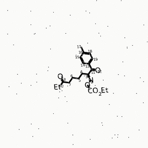 CCOC(=O)O/N=C(\CCCCC(=O)CC)C(=O)c1ccc(C)cc1